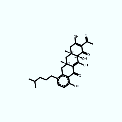 CC(=O)C1=C(O)C[C@@]2(C)C[C@@]3(C)Cc4c(CCCC(C)C)ccc(O)c4C(=O)C3=C(O)[C@@]2(O)C1=O